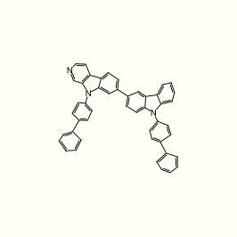 c1ccc(-c2ccc(-n3c4ccccc4c4cc(-c5ccc6c7ccncc7n(-c7ccc(-c8ccccc8)cc7)c6c5)ccc43)cc2)cc1